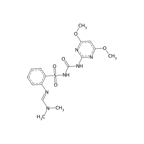 COc1cc(OC)nc(NC(=O)NS(=O)(=O)c2ccccc2N=CN(C)C)n1